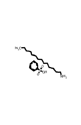 CCCCCCCCCCCCCCN.O=S(=O)(O)c1ccccc1